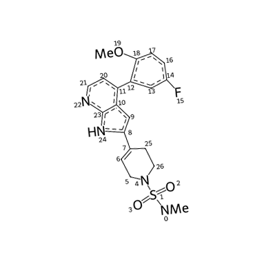 CNS(=O)(=O)N1CC=C(c2cc3c(-c4cc(F)ccc4OC)ccnc3[nH]2)CC1